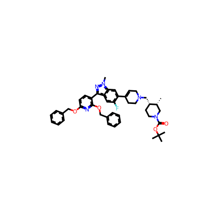 C[C@@H]1CN(C(=O)OC(C)(C)C)CC[C@@H]1CN1CC=C(c2cc3c(cc2F)c(-c2ccc(OCc4ccccc4)nc2OCc2ccccc2)nn3C)CC1